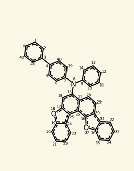 c1ccc(-c2ccc(N(c3ccccc3)c3cc4oc5ccccc5c4c4c3ccc3c5ccccc5oc34)cc2)cc1